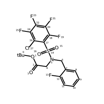 CC(C)(C)OC(=O)CN(Cc1ccccc1F)S(=O)(=O)c1c(F)c(F)c(F)c(F)c1Cl